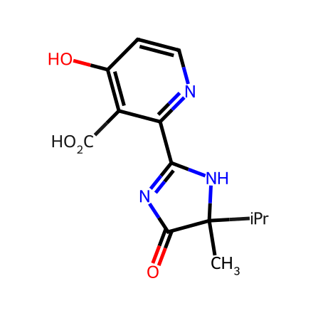 CC(C)C1(C)NC(c2nccc(O)c2C(=O)O)=NC1=O